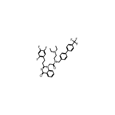 CCN(CC)CCN(Cc1ccc(-c2ccc(C(F)(F)F)cc2)cc1)C(=O)Cn1c(CCc2cc(F)c(F)cc2F)nc(=O)c2ccccc21